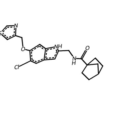 O=C(NCc1cc2cc(Cl)c(OCc3cscn3)cc2[nH]1)C12CCC(CC1)C2